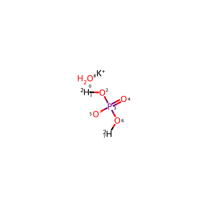 O.[2H]OP(=O)([O-])O[2H].[K+]